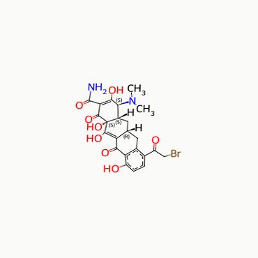 CN(C)[C@@H]1C(O)=C(C(N)=O)C(=O)[C@@]2(O)C(O)=C3C(=O)c4c(O)ccc(C(=O)CBr)c4C[C@H]3C[C@@H]12